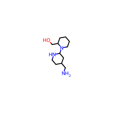 NCC1CCNC(N2CCCCC2CO)C1